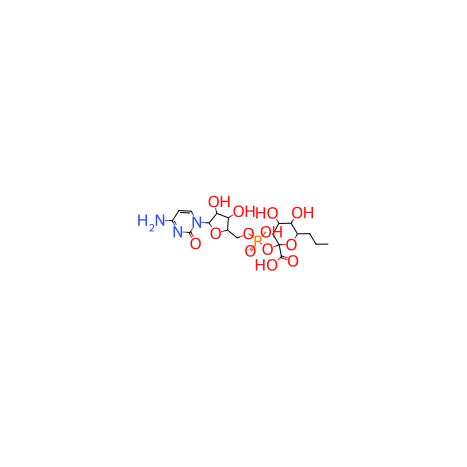 CCCC1OC(OP(=O)(O)OCC2OC(n3ccc(N)nc3=O)C(O)C2O)(C(=O)O)CC(O)C1O